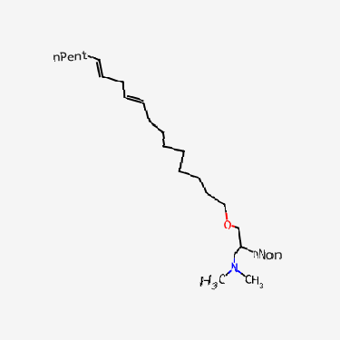 CCCCCC=CCC=CCCCCCCCCOCC(CCCCCCCCC)CN(C)C